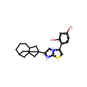 Oc1ccc(-c2csc3nc(C45CC6CCCC(C4)C(C6)C5)cn23)c(O)c1